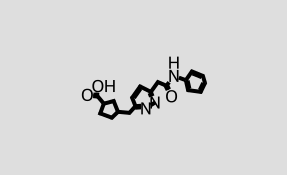 O=C(Cc1ccc(CC2CCC(C(=O)O)C2)nn1)Nc1ccccc1